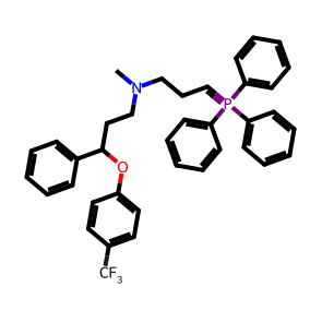 CN(CCC=P(c1ccccc1)(c1ccccc1)c1ccccc1)CCC(Oc1ccc(C(F)(F)F)cc1)c1ccccc1